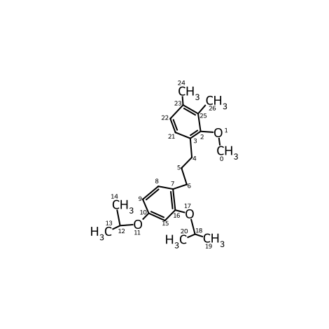 COc1c(CCCc2ccc(OC(C)C)cc2OC(C)C)ccc(C)c1C